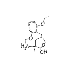 CCOc1cccc(OCC)c1CC(CC)CC(C)(N)C(=O)O